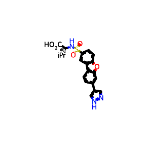 CC(C)[C@@H](NS(=O)(=O)c1ccc2oc3cc(-c4cn[nH]c4)ccc3c2c1)C(=O)O